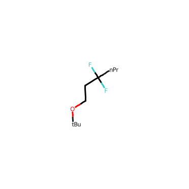 CCCC(F)(F)CCOC(C)(C)C